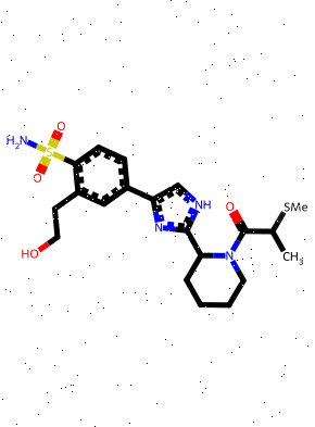 CSC(C)C(=O)N1CCCCC1c1nc(-c2ccc(S(N)(=O)=O)c(CCO)c2)c[nH]1